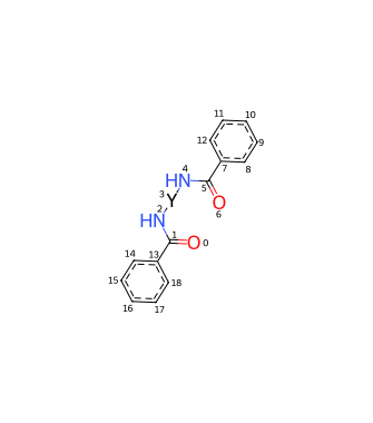 O=C([NH][Y][NH]C(=O)c1ccccc1)c1ccccc1